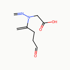 C=NN(CC(=O)O)C(=C)CCC=O